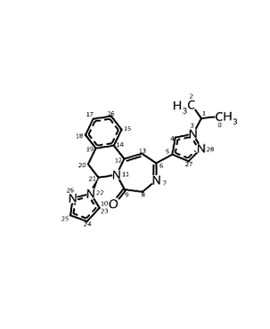 CC(C)n1cc(C2=NCC(=O)N3C(=C2)c2ccccc2C[C@@H]3n2cccn2)cn1